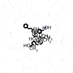 CC(CCc1ccccc1)CN(CC(O)CNC(=O)[C@H](N1CCN(Cc2cccc([C@H](C)O)n2)C1=O)C(C)(C)C)S(=O)(=O)c1ccc(/C=N/O)cc1